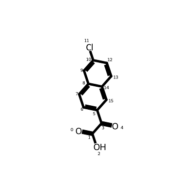 O=C(O)C(=O)c1ccc2cc(Cl)ccc2c1